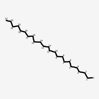 CCCCCCCCCCC[CH]CCCCCCCCCCCC